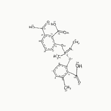 CN=P(C)(Oc1cccc(C)c1C(=O)O)Oc1cccc(C(=O)O)c1C(=O)O